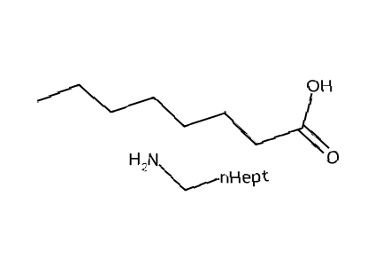 CCCCCCCC(=O)O.CCCCCCCCN